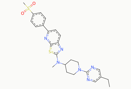 CCc1cnc(N2CCC(N(C)c3nc4ccc(-c5ccc(S(C)(=O)=O)cc5)nc4s3)CC2)nc1